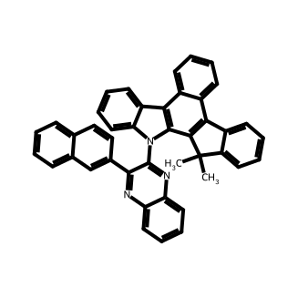 CC1(C)c2ccccc2-c2c1c1c(c3ccccc23)c2ccccc2n1-c1nc2ccccc2nc1-c1ccc2ccccc2c1